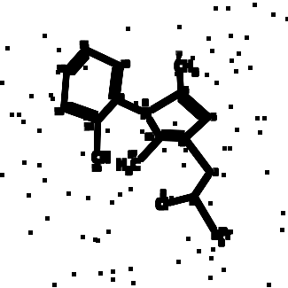 CCCC(Cl)Cc1cc(C)n(-c2ccccc2C#N)c1C